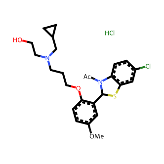 COc1ccc(OCCCN(CCO)CC2CC2)c(C2Sc3cc(Cl)ccc3N2C(C)=O)c1.Cl